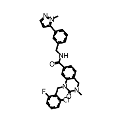 CN1Cc2ccc(C(=O)NCc3cccc(-c4ccnn4C)c3)cc2N(Cc2c(F)cccc2Cl)C1=O